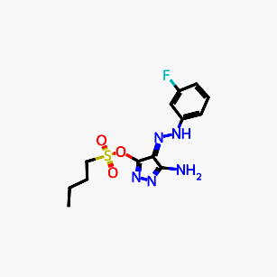 CCCCS(=O)(=O)OC1=NN=C(N)C1=NNc1cccc(F)c1